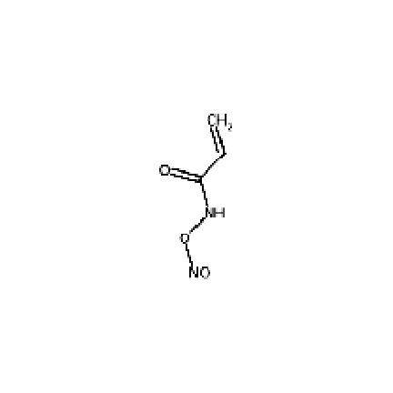 C=CC(=O)NON=O